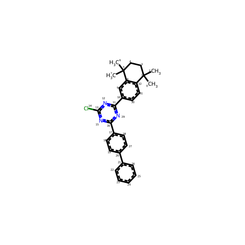 CC1(C)CCC(C)(C)c2cc(-c3nc(Cl)nc(-c4ccc(-c5ccccc5)cc4)n3)ccc21